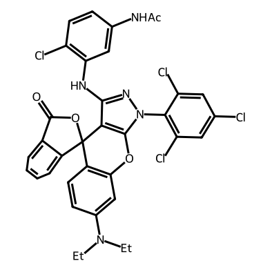 CCN(CC)c1ccc2c(c1)Oc1c(c(Nc3cc(NC(C)=O)ccc3Cl)nn1-c1c(Cl)cc(Cl)cc1Cl)C21OC(=O)c2ccccc21